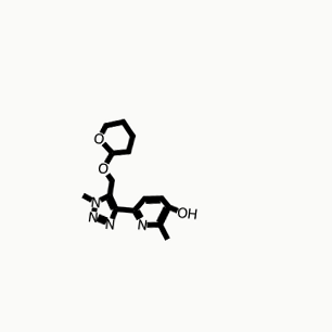 Cc1nc(-c2nnn(C)c2COC2CCCCO2)ccc1O